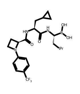 CC(C)C[C@H](NC(=O)[C@H](CC1CC1)NC(=O)[C@@H]1CCN1c1ccc(C(F)(F)F)cc1)B(O)O